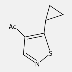 CC(=O)c1cnsc1C1CC1